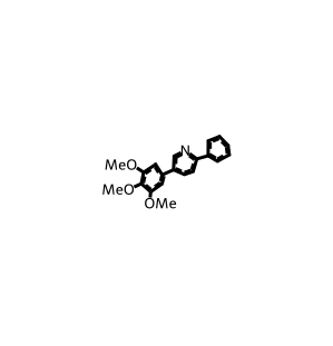 COc1cc(-c2ccc(-c3ccccc3)nc2)cc(OC)c1OC